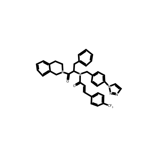 O=C(C(Cc1ccccc1)N(Cc1ccc(-n2ccnn2)cc1)C(=O)C=Cc1ccc(C(F)(F)F)cc1)N1CCc2ccccc2C1